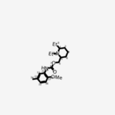 CCC1CCCC(COC(=O)Nc2cc(C)ccc2OC)N1CC